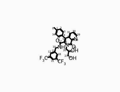 Cc1ccc(-c2c(C(=O)NCc3cc(C(F)(F)F)cc(C(F)(F)F)c3)n(CC(O)CO)c(=O)c3ncccc23)cc1